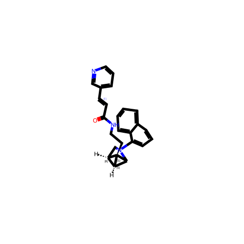 O=C(/C=C/c1cccnc1)NCC[C@@]12C3[C@H]1[C@H]2CN3c1cccc2ccccc12